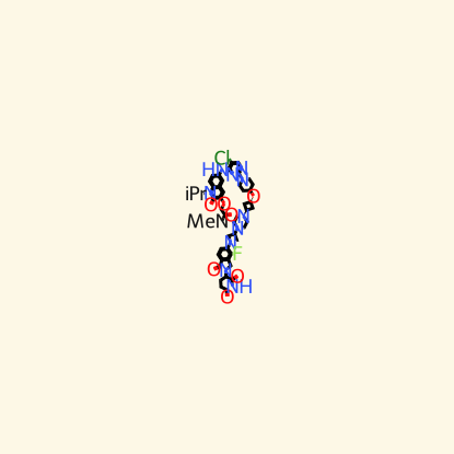 CNC(=O)COc1cc2cc(Nc3nc(N4CCC(O[C@H]5C[C@H](N6CCN(C7CN(c8ccc9c(c8F)CN(C8CCC(=O)NC8=O)C9=O)C7)CC6)C5)CC4)ncc3Cl)ccc2n(C(C)C)c1=O